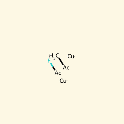 CC(=O)F.CC(C)=O.[Cu].[Cu]